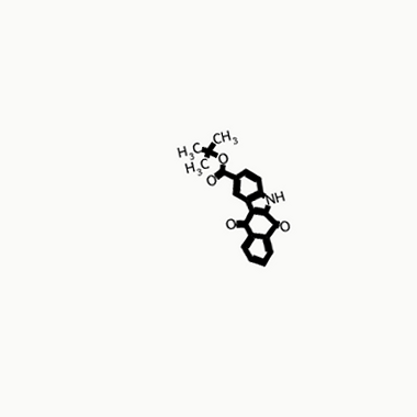 CC(C)(C)OC(=O)c1ccc2[nH]c3c(c2c1)C(=O)c1ccccc1C3=O